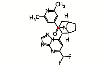 Cc1cc(C(=O)N2[C@H]3CC[C@H](c4cc(C(F)F)nc5ncnn45)[C@@H]2CC3)cc(C)n1